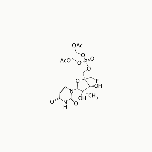 CC(=O)OCOP(=O)(OCOC(C)=O)OC[C@@]1(CF)OC(n2ccc(=O)[nH]c2=O)[C@](C)(O)[C@@H]1O